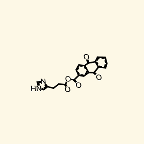 O=C(CCc1c[nH]cn1)OC(=O)c1ccc2c(c1)C(=O)c1ccccc1C2=O